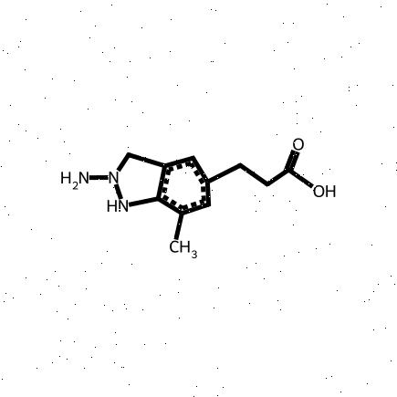 Cc1cc(CCC(=O)O)cc2c1NN(N)C2